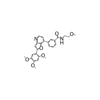 COCCNC(=O)c1cccc(-c2ccnc3cc(-c4cc(OC)c(OC)cc4OC)oc23)c1